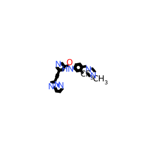 CN1CCN(Cc2ccc(NC(=O)c3cncc(C#Cc4cnc5cccnn45)c3)cc2C(F)(F)F)CC1